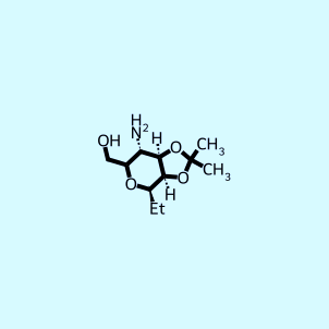 CC[C@H]1OC(CO)[C@H](N)[C@H]2OC(C)(C)O[C@H]21